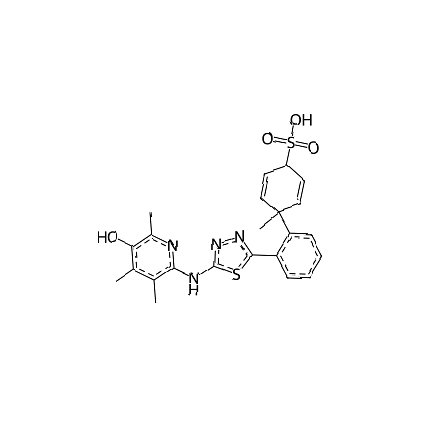 Cc1nc(Nc2nnc(-c3ccccc3C3(C)C=CC(S(=O)(=O)O)C=C3)s2)c(C)c(C)c1O